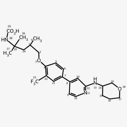 CC(COc1ccc(-c2ccnc(NC3CCCOC3)c2)cc1C(F)(F)F)CC(C)(C)NC(=O)O